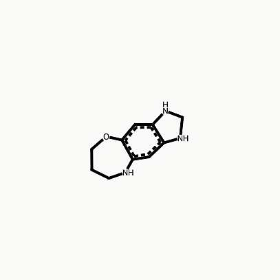 c1c2c(cc3c1NCCCO3)NCN2